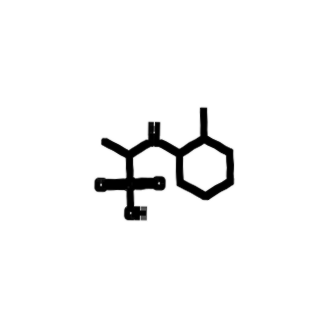 CC1CCCCC1NC(C)S(=O)(=O)O